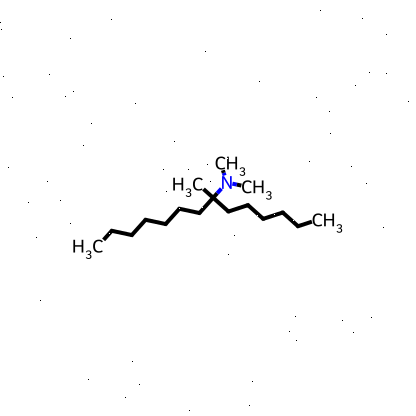 CCCCCCCC(C)(CCCCCC)N(C)C